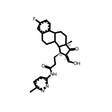 Cc1ccc(NC(=O)CC[C@@H]2/C(=C/O)C(=O)[C@@]3(C)CCC4c5ccc(F)cc5CCC4C23)nn1